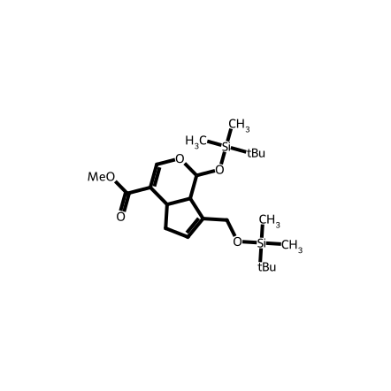 COC(=O)C1=COC(O[Si](C)(C)C(C)(C)C)C2C(CO[Si](C)(C)C(C)(C)C)=CCC12